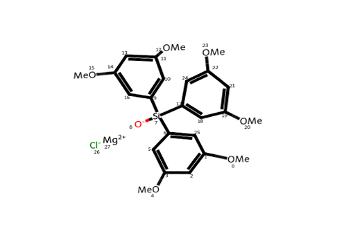 COc1cc(OC)cc([Si]([O-])(c2cc(OC)cc(OC)c2)c2cc(OC)cc(OC)c2)c1.[Cl-].[Mg+2]